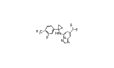 Fc1cc(C2(Nc3cc(C(F)F)cc4ncnn34)CC2)ccc1C(F)(F)F